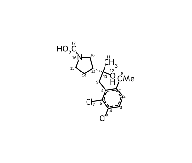 COc1ccc(Cl)c(Cl)c1CC(C)(O)[C@@H]1CCN(C(=O)O)C1